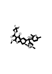 COc1nc2ccc(C(O)(C3=CN(C)NN3C)c3ccc(C)nc3C)cc2c(Cl)c1C(=O)N1CC(F)(F)C1